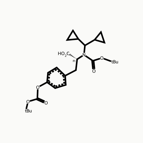 CC(C)(C)OC(=O)Oc1ccc(C[C@H](C(=O)O)N(C(=O)OC(C)(C)C)C(C2CC2)C2CC2)cc1